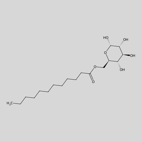 CCCCCCCCCCCC(=O)OC[C@H]1O[C@H](O)[C@H](O)[C@@H](O)[C@@H]1O